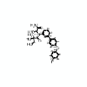 CC(C(N)=O)N(C(=O)[C@@](C)(O)CO)c1cccc(-c2ccc(Oc3ccc(F)cc3)cc2)n1